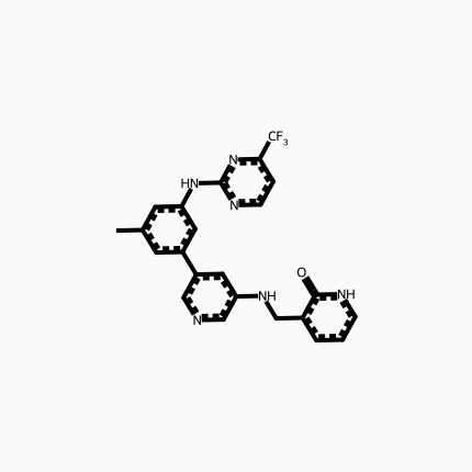 Cc1cc(Nc2nccc(C(F)(F)F)n2)cc(-c2cncc(NCc3ccc[nH]c3=O)c2)c1